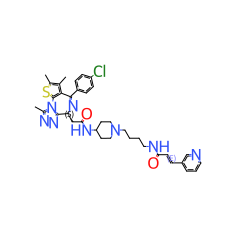 Cc1sc2c(c1C)C(c1ccc(Cl)cc1)=N[C@@H](CC(=O)NC1CCN(CCCCNC(=O)/C=C/c3cccnc3)CC1)c1nnc(C)n1-2